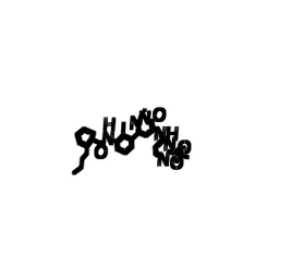 CCCCc1ccccc1C(=O)Nc1cccc(-c2cc(Nc3ccnc(S(C)(=O)=O)n3)c(=O)n(C)n2)c1C